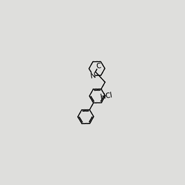 Cl.c1ccc(-c2ccc(CC3CC4CCN3CC4)cc2)cc1